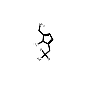 CC(F)(F)CC1=CC=C(CN)C1N